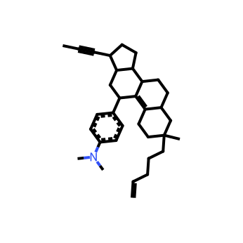 C=CCCCC1(C)CCC2=C3C(c4ccc(N(C)C)cc4)CC4C(C#CC)CCC4C3CCC2C1